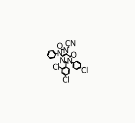 N#CCn1c(=O)n(-c2ccccc2)c2nc(-c3ccc(Cl)cc3Cl)n(-c3ccc(Cl)cc3)c(=O)c21